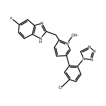 O[n+]1cc(-c2cc(Cl)ccc2-n2cnnn2)ccc1Cc1nc2cc(F)ccc2[nH]1